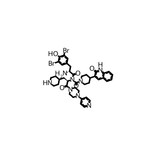 N[C@H](Cc1cc(Br)c(O)c(Br)c1)C(=O)N(C(=O)N1CCC(c2cc3ccccc3[nH]c2=O)CC1)[C@H](CC1CCNCC1)C(=O)N1CCN(c2ccncc2)CC1